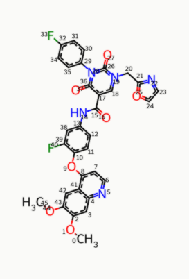 COc1cc2nccc(Oc3ccc(NC(=O)c4cn(Cc5ncco5)c(=O)n(-c5ccc(F)cc5)c4=O)cc3F)c2cc1OC